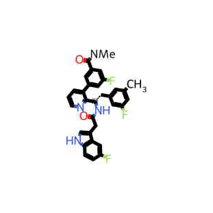 CNC(=O)c1cc(F)cc(-c2cccnc2[C@H](Cc2cc(C)cc(F)c2)NC(=O)Cc2c[nH]c3ccc(F)cc23)c1